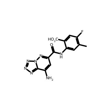 Cc1cc(NC(=O)c2cc(N)c3nnnn3n2)c(C(=O)O)cc1F